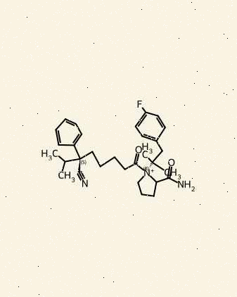 CC(C)[C@@](C#N)(CCCCC(=O)[N@+]1(C(C)(C)Cc2ccc(F)cc2)CCCC1C(N)=O)c1ccccc1